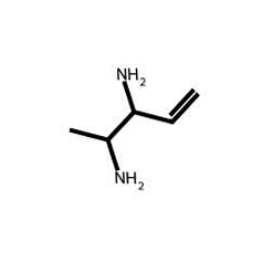 C=CC(N)C(C)N